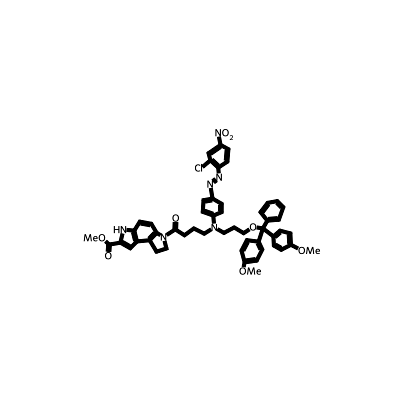 COC(=O)c1cc2c3c(ccc2[nH]1)N(C(=O)CCCN(CCCOC(c1ccccc1)(c1ccc(OC)cc1)c1ccc(OC)cc1)c1ccc(N=Nc2ccc([N+](=O)[O-])cc2Cl)cc1)CC3